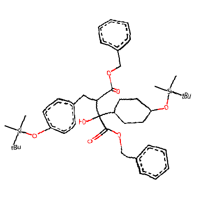 CC(C)(C)[Si](C)(C)Oc1ccc(CC(C(=O)OCc2ccccc2)C(O)(C(=O)OCc2ccccc2)C2CCC(O[Si](C)(C)C(C)(C)C)CC2)cc1